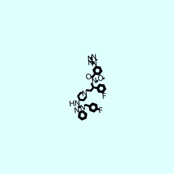 COc1ccc(-n2cnnn2)cc1C(=O)N(C)CC(CCN1CCC(Nc2nc3ccccc3n2Cc2ccc(F)cc2)CC1)c1cccc(F)c1